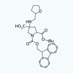 CC(C)(C)OC(=O)C1CC(NCC2CCCO2)(C(=O)O)CN1C(=O)OCC1c2ccccc2-c2ccccc21